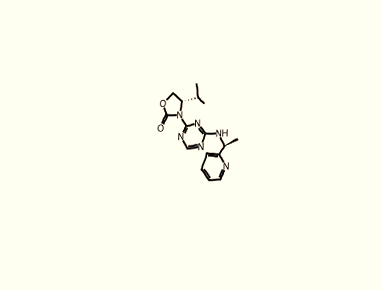 CC(C)[C@H]1COC(=O)N1c1ncnc(N[C@@H](C)c2ccccn2)n1